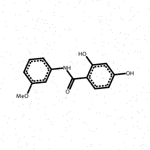 COc1cccc(NC(=O)c2ccc(O)cc2O)c1